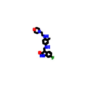 Cc1cc(N/C=C2/C(=O)Nc3cc(F)ccc32)ccc1NCCN1CCOCC1